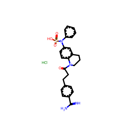 Cl.N=C(N)c1ccc(CCC(=O)N2CCCc3cc(N(c4ccccc4)S(=O)(=O)O)ccc32)cc1